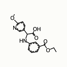 CCOC(=O)c1cccc(NC(C(=O)O)c2ccc(OC)nc2)c1